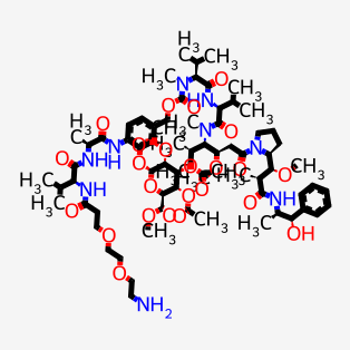 CC[C@H](C)[C@@H]([C@@H](CC(=O)N1CCC[C@H]1[C@H](OC)[C@@H](C)C(=O)N[C@H](C)[C@@H](O)c1ccccc1)OC)N(C)C(=O)[C@@H](NC(=O)[C@H](C(C)C)N(C)C(=O)OCc1ccc(NC(=O)[C@H](C)NC(=O)[C@@H](NC(=O)CCOCCOCCN)C(C)C)c(O[C@@H]2O[C@H](C(=O)OC)[C@@H](OC(C)=O)[C@H](OC(C)=O)[C@H]2OC(C)=O)c1)C(C)C